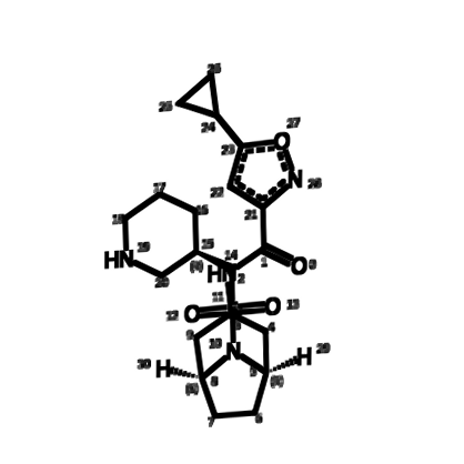 O=C(N[C@H]1C[C@H]2CC[C@@H](C1)N2S(=O)(=O)C[C@@H]1CCCNC1)c1cc(C2CC2)on1